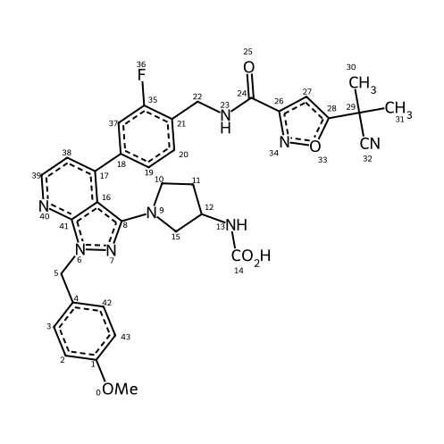 COc1ccc(Cn2nc(N3CCC(NC(=O)O)C3)c3c(-c4ccc(CNC(=O)c5cc(C(C)(C)C#N)on5)c(F)c4)ccnc32)cc1